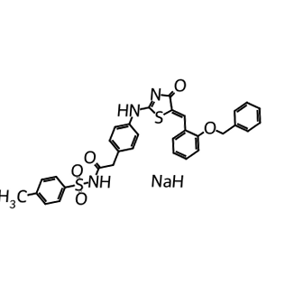 Cc1ccc(S(=O)(=O)NC(=O)Cc2ccc(NC3=NC(=O)C(=Cc4ccccc4OCc4ccccc4)S3)cc2)cc1.[NaH]